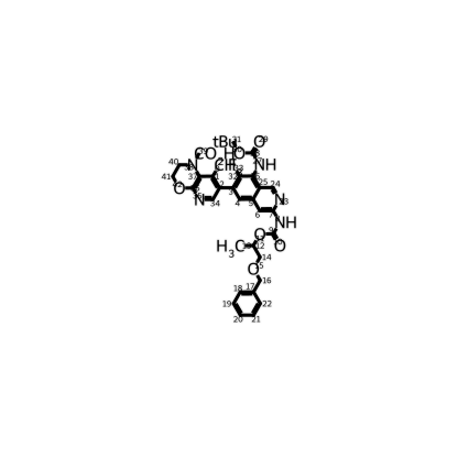 Cc1c(-c2cc3cc(NC(=O)OC(C)COCc4ccccc4)ncc3c(NC(=O)OC(C)(C)C)c2F)cnc2c1N(C(=O)O)CCO2